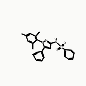 Cc1cc(C)c(-n2nc(NS(=O)(=O)c3ccccc3)cc2-c2ccccc2)c(C)c1